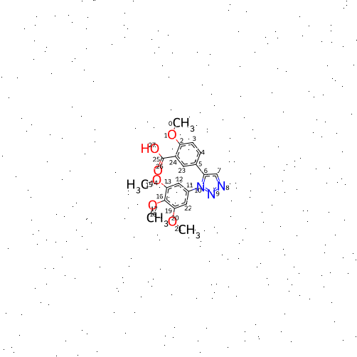 COc1ccc(-c2cnnn2-c2cc(OC)c(OC)c(OC)c2)cc1C(=O)O